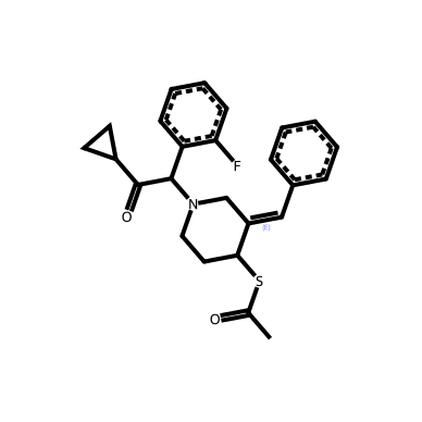 CC(=O)SC1CCN(C(C(=O)C2CC2)c2ccccc2F)C/C1=C\c1ccccc1